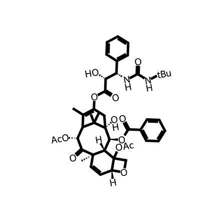 CC(=O)O[C@H]1C(=O)[C@]2(C)C=C[C@H]3OCC3(OC(C)=O)[C@H]2[C@H](OC(=O)c2ccccc2)[C@]2(O)CC(OC(=O)[C@H](O)[C@@H](NC(=O)NC(C)(C)C)c3ccccc3)=C(C)C1C2(C)C